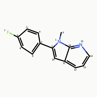 Cn1c(-c2ccc(F)cc2)cc2cccnc21